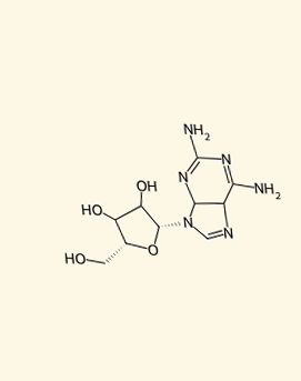 NC1=NC2C(N=CN2[C@@H]2O[C@H](CO)C(O)C2O)C(N)=N1